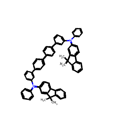 CC1(C)c2ccccc2-c2ccc(N(c3ccccc3)c3cccc(-c4ccc(-c5ccc(-c6cccc(N(c7ccccc7)c7ccc8c(c7)C(C)(C)c7ccccc7-8)c6)cc5)cc4)c3)cc21